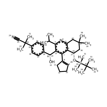 CC(C)c1nc2c(c(C3=CCCC3)c1[C@H](O)c1ccc(C(C)(C)C#N)cc1)[C@@H](O[Si](C)(C)C(C)(C)C)CC(C)(C)C2